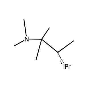 CC(C)[C@@H](C)C(C)(C)N(C)C